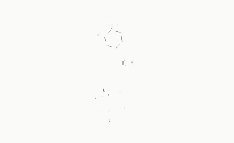 COC1CCN(CCCC(O)c2ccc(C)cc2)CC1